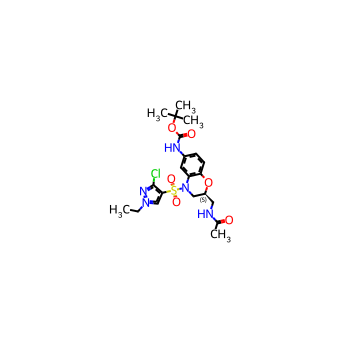 CCn1cc(S(=O)(=O)N2C[C@H](CNC(C)=O)Oc3ccc(NC(=O)OC(C)(C)C)cc32)c(Cl)n1